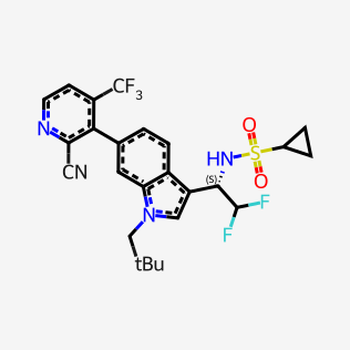 CC(C)(C)Cn1cc([C@H](NS(=O)(=O)C2CC2)C(F)F)c2ccc(-c3c(C(F)(F)F)ccnc3C#N)cc21